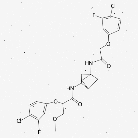 COCC(Oc1ccc(Cl)c(F)c1)C(=O)NC1CC2(NC(=O)COc3ccc(Cl)c(F)c3)CC1C2